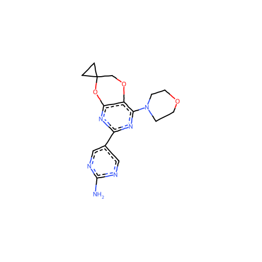 Nc1ncc(-c2nc3c(c(N4CCOCC4)n2)OCC2(CC2)O3)cn1